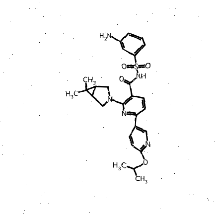 CC(C)Oc1ccc(-c2ccc(C(=O)NS(=O)(=O)c3cccc(N)c3)c(N3CC4C(C3)C4(C)C)n2)cn1